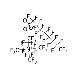 FC(F)(F)C(F)(F)[N+](C(F)(F)C(F)(F)F)(C(F)(F)C(F)(F)F)C(F)(F)C(F)(F)F.O=S(=O)([O-])C(F)(F)C(F)(F)C(F)(F)C(F)(F)C(F)(F)C(F)(F)C(F)(F)C(F)(F)F